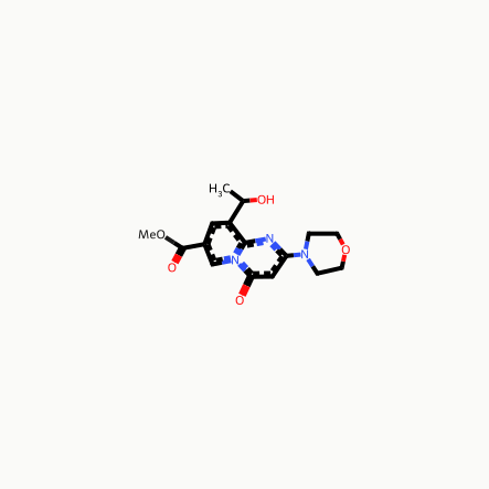 COC(=O)c1cc(C(C)O)c2nc(N3CCOCC3)cc(=O)n2c1